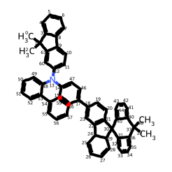 CC1(C)c2ccccc2-c2ccc(N(c3ccc(-c4ccc5c(c4)C4C=CC=CC4C54c5ccccc5C(C)(C)c5ccccc54)cc3)c3ccccc3-c3ccccc3)cc21